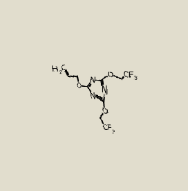 C=CCOc1nc(OCC(F)(F)F)nc(OCC(F)(F)F)n1